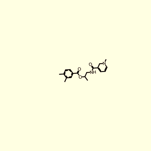 Cc1ccc(C(=O)OC(C)CNC(=O)C2=CC=CN(C)C2)cc1C